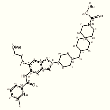 COCCOc1cc2nn(C3CCN(CC4CCC5(CC4)CCN(C(=O)OC(C)(C)C)CC5)CC3)cc2cc1NC(=O)c1cccc(C)n1